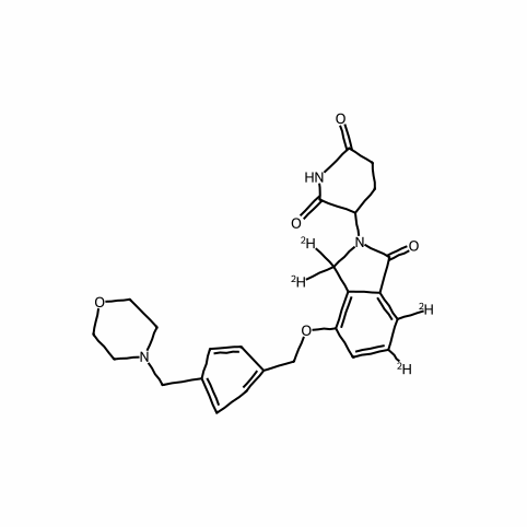 [2H]c1cc(OCc2ccc(CN3CCOCC3)cc2)c2c(c1[2H])C(=O)N(C1CCC(=O)NC1=O)C2([2H])[2H]